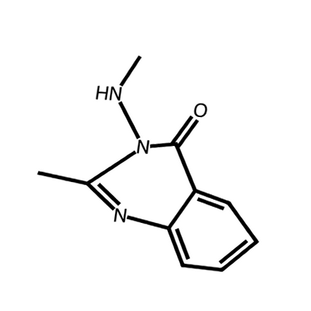 CNn1c(C)nc2ccccc2c1=O